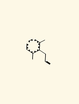 O=CCc1c(Cl)cnnc1Cl